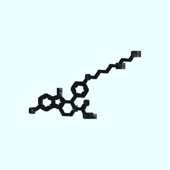 CC(C)COC(=O)N1CCc2c([nH]c3ccc(Cl)cc23)C1c1ccc(OCCCCNCCO)cc1